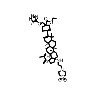 C=C(C)C(=C)[C@@H]1CC[C@]2(NCCN3CCS(=O)(=O)CC3)CC[C@]3(C)[C@H](CCC4[C@@]5(C)CC=C(C6=CCC(COc7nnnn7C)(C(=O)OCC)CC6)C(C)(C)C5CC[C@]43C)C12